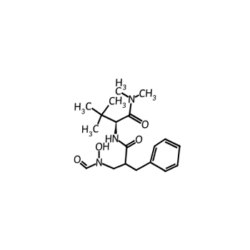 CN(C)C(=O)[C@@H](NC(=O)C(Cc1ccccc1)CN(O)C=O)C(C)(C)C